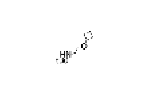 CC(C)(C)NCCOC1CCC1